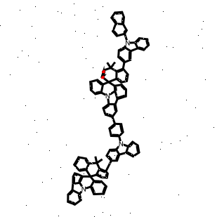 CC1(C)c2ccccc2C2(c3ccccc3-n3c4ccccc4c4cccc2c43)c2cccc(-c3ccc4c(c3)c3ccccc3n4-c3ccc(-c4ccc5c(c4)c4cccc6c4n5-c4ccccc4C64c5ccccc5C(C)(C)c5c(-c6ccc7c(c6)c6ccccc6n7-c6ccc7ccccc7c6)cccc54)cc3)c21